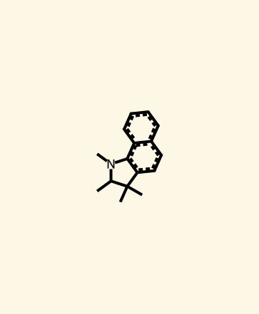 CC1N(C)c2c(ccc3ccccc23)C1(C)C